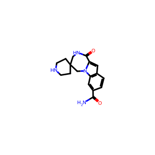 NC(=O)c1ccc2cc3n(c2c1)CC1(CCNCC1)CNC3=O